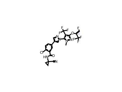 Cn1nc(O/C(=C\F)C(F)(F)F)c(C(F)(F)F)c1-n1cc(-c2ccc(Cl)c(C(=O)NC3(C#N)CC3)c2)cn1